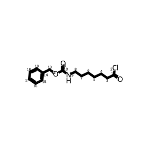 O=C(Cl)CCCCCCNC(=O)OCc1ccccc1